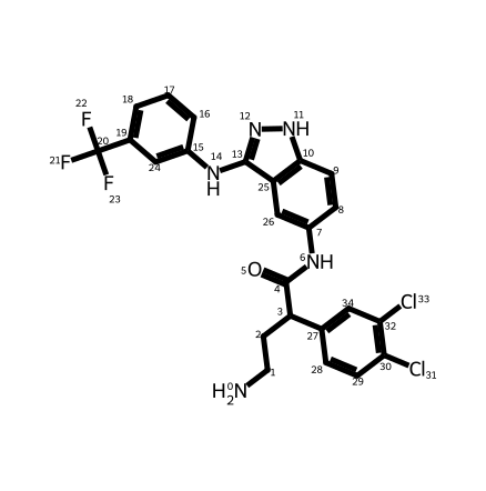 NCCC(C(=O)Nc1ccc2[nH]nc(Nc3cccc(C(F)(F)F)c3)c2c1)c1ccc(Cl)c(Cl)c1